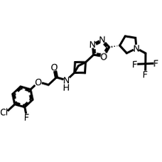 O=C(COc1ccc(Cl)c(F)c1)NC12CC(c3nnc([C@@H]4CCN(CC(F)(F)F)C4)o3)(C1)C2